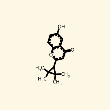 CC1(C)C(c2cc(=O)c3cc(O)ccc3o2)C1(C)C